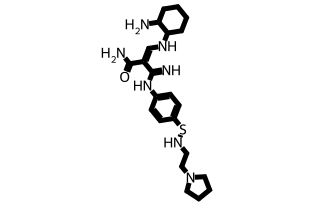 N=C(Nc1ccc(SNCCN2CCCC2)cc1)/C(=C\NC1CCCCC1N)C(N)=O